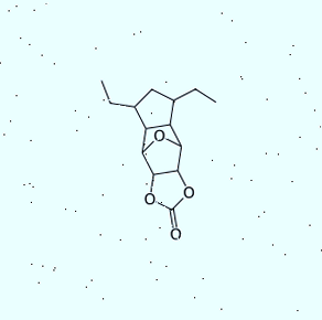 CCC1CC(CC)C2C3OC(C4OC(=O)OC43)C12